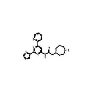 O=C(CN1CCCNCC1)Nc1cc(-c2ccccn2)nc(-c2cccs2)n1